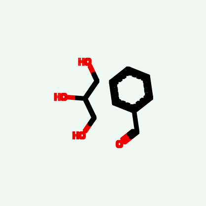 O=Cc1ccccc1.OCC(O)CO